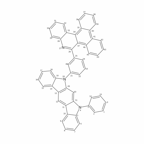 c1ccc(-n2c3ccccc3c3cc4c5ccccc5n(-c5cccc(-c6nc7ccccc7c7c8ccccc8c8ccccc8c67)c5)c4cc32)cc1